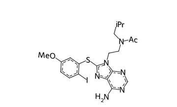 COc1ccc(I)c(Sc2nc3c(N)ncnc3n2CCN(CC(C)C)C(C)=O)c1